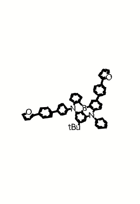 CC(C)(C)c1cc2c3c(c1)N(c1ccccc1)c1ccc(-c4ccc(-c5ccco5)cc4)cc1B3c1ccccc1N2c1ccc(-c2ccc(-c3ccco3)cc2)cc1